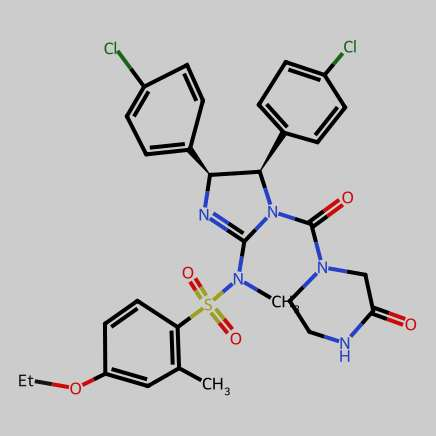 CCOc1ccc(S(=O)(=O)N(C)C2=N[C@@H](c3ccc(Cl)cc3)[C@@H](c3ccc(Cl)cc3)N2C(=O)N2CCNC(=O)C2)c(C)c1